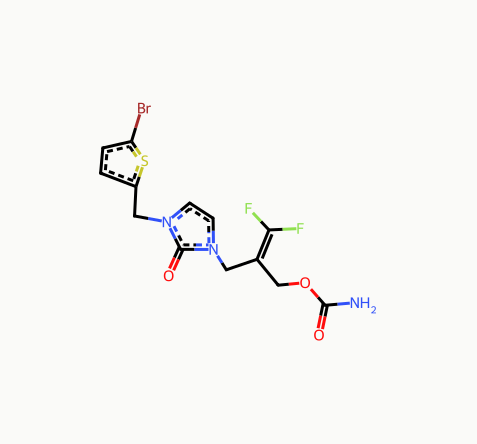 NC(=O)OCC(Cn1ccn(Cc2ccc(Br)s2)c1=O)=C(F)F